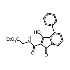 CCOC(=O)CNC(=O)C1=C(O)c2c(cccc2-c2ccccc2)C1=O